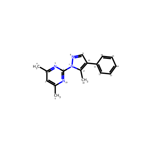 Cc1cc(C)nc(-n2ncc(-c3ccccc3)c2C)n1